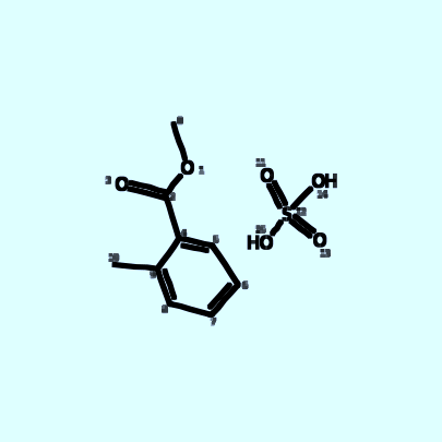 COC(=O)c1ccccc1C.O=S(=O)(O)O